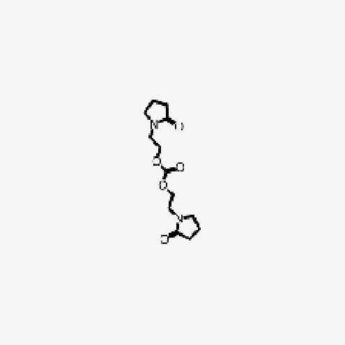 O=C(OCCN1CCCC1=O)OCCN1CCCC1=O